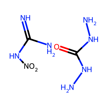 N=C(N)N[N+](=O)[O-].NNC(=O)NN